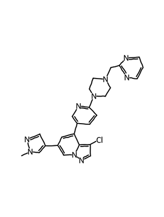 Cn1cc(-c2cc(-c3ccc(N4CCN(Cc5ncccn5)CC4)nc3)c3c(Cl)cnn3c2)cn1